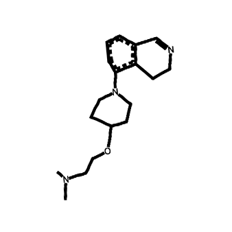 CN(C)CCOC1CCN(c2cccc3c2CCN=C3)CC1